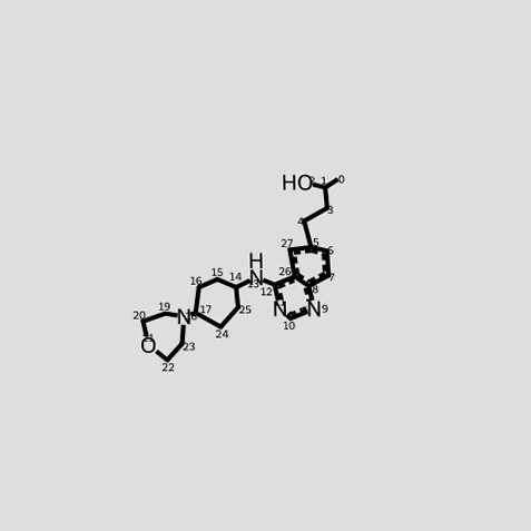 CC(O)CCc1ccc2ncnc(NC3CCC(N4CCOCC4)CC3)c2c1